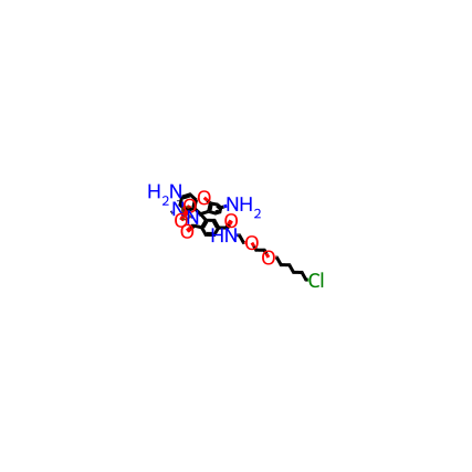 CN(C)S(=O)(=O)N1C(=O)c2ccc(C(=O)NCCOCCOCCCCCCCl)cc2C12c1ccc(N)cc1Oc1cc(N)ccc12